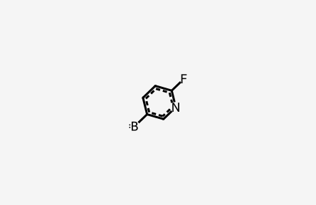 [B]c1ccc(F)nc1